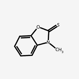 Cn1c(=S)oc2ccccc21